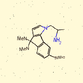 CNc1ccc2c(c1)-c1c(ccn1CC(C)N)C2(NC)NC